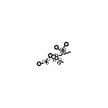 CCCCC[C@@H](CC[C@H]1C(O[Si](CC)(CC)CC)C[C@@H]2Cc3c(cccc3OCC(=O)OCc3ccccc3)C[C@@H]21)OP(=O)(OCc1ccccc1)OCc1ccccc1